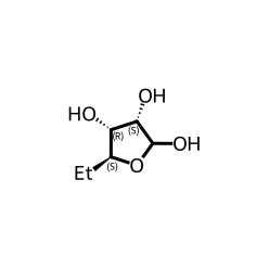 CC[C@@H]1OC(O)[C@@H](O)[C@H]1O